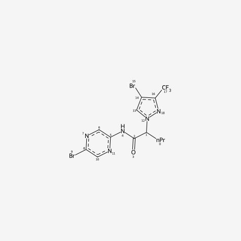 CCCC(C(=O)Nc1cnc(Br)cn1)n1cc(Br)c(C(F)(F)F)n1